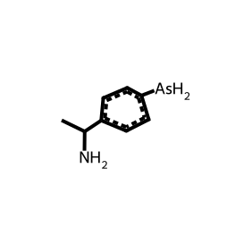 CC(N)c1ccc([AsH2])cc1